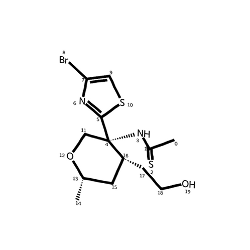 CC(=S)N[C@@]1(c2nc(Br)cs2)CO[C@@H](C)C[C@H]1CCO